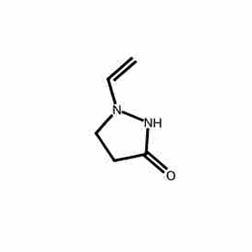 C=CN1CCC(=O)N1